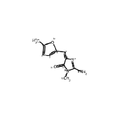 Cc1ccc(C=C2N=C(N)N(C)C2=O)o1